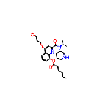 CCCCCC(=O)Oc1cccc2c(OCCCOC)cc(C(=O)N(C(C)C)[C@@H]3CCCNC3)nc12